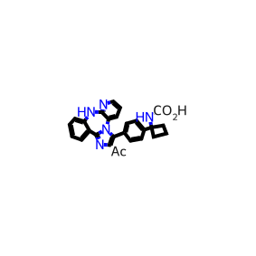 CC(=O)c1nc2n(c1-c1ccc(C3(NC(=O)O)CCC3)cc1)-c1cccnc1Nc1ccccc1-2